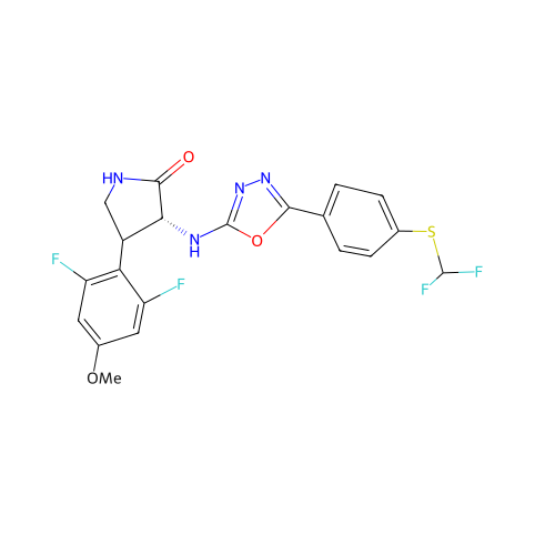 COc1cc(F)c(C2CNC(=O)[C@@H]2Nc2nnc(-c3ccc(SC(F)F)cc3)o2)c(F)c1